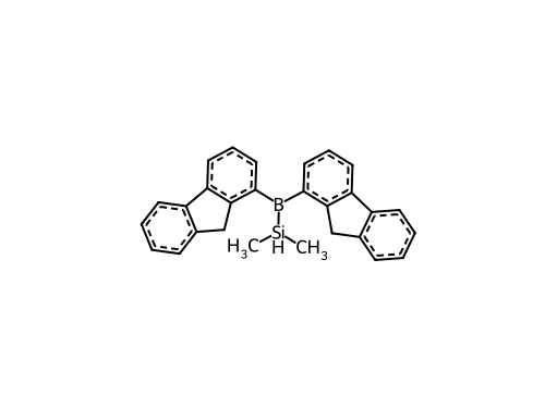 C[SiH](C)B(c1cccc2c1Cc1ccccc1-2)c1cccc2c1Cc1ccccc1-2